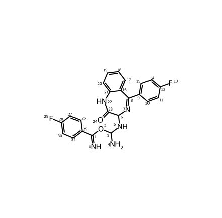 N=C(OC(N)NC1N=C(c2ccc(F)cc2)c2ccccc2NC1=O)c1ccc(F)cc1